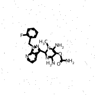 CN1C(N)=C(OC(N)=O)C(N)=NC1c1nn(Cc2ccccc2F)c2ncccc12